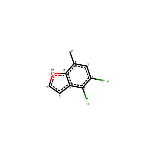 Cc1cc(F)c(F)c2ccoc12